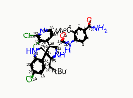 COc1cc(C(N)=O)ccc1NC(=O)[C@@H]1N[C@@H](CC(C)(C)C)[C@@]2(CNc3cc(Cl)ccc32)[C@H]1c1ccnc(Cl)c1F